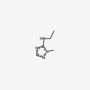 CCNc1ncnn1C